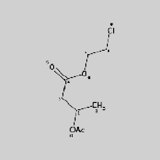 [CH2]C(=O)OC(C)CC(=O)OCCCl